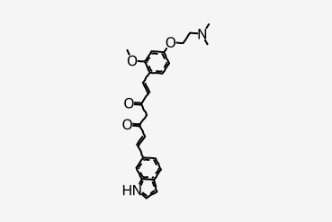 COc1cc(OCCN(C)C)ccc1C=CC(=O)CC(=O)C=Cc1ccc2cc[nH]c2c1